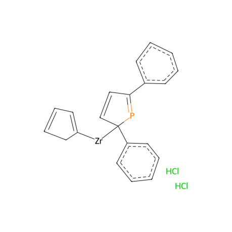 C1=CC[C]([Zr][C]2(c3ccccc3)C=CC(c3ccccc3)=P2)=C1.Cl.Cl